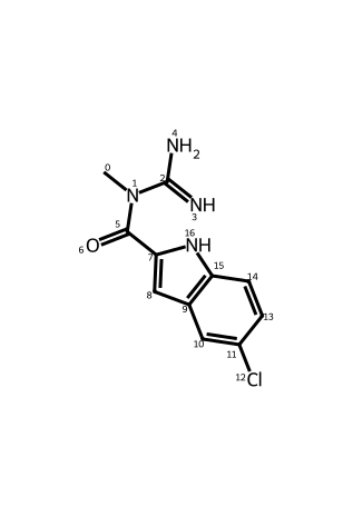 CN(C(=N)N)C(=O)c1cc2cc(Cl)ccc2[nH]1